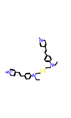 CCN(CCSSCCN(CC)c1ccc(/C=C/c2cc[n+](C)cc2)cc1)c1ccc(/C=C/C2=CCN(C)C=C2)cc1